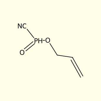 C=CCO[PH](=O)C#N